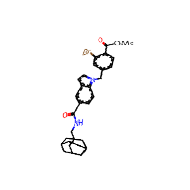 COC(=O)c1ccc(Cn2ccc3cc(C(=O)NCC45CC6CC(CC(C6)C4)C5)ccc32)cc1Br